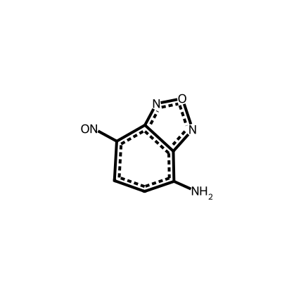 Nc1ccc(N=O)c2nonc12